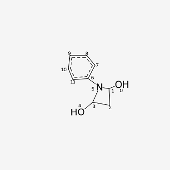 OC1CC(O)N1c1ccccc1